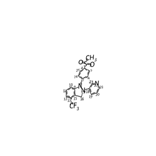 CS(=O)(=O)c1ccc(N2c3cccc(C(F)(F)F)c3CN2c2cccnc2)cc1